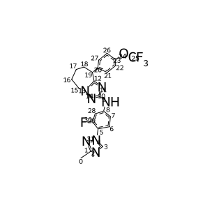 Cc1ncn(-c2ccc(Nc3nc4n(n3)CCCC[C@H]4c3ccc(OC(F)(F)F)cc3)cc2F)n1